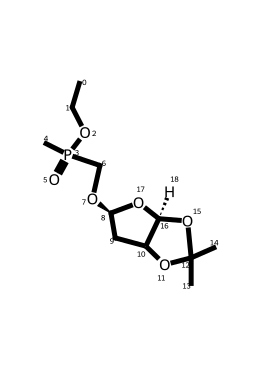 CCOP(C)(=O)CO[C@@H]1CC2OC(C)(C)O[C@@H]2O1